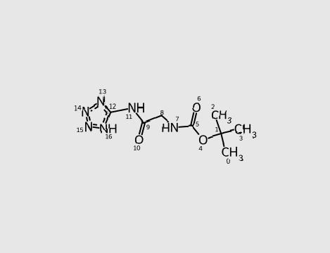 CC(C)(C)OC(=O)NCC(=O)Nc1nnn[nH]1